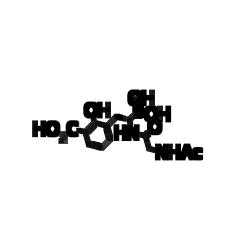 CC(=O)NCC(=O)N[C@@H](Cc1cccc(C(=O)O)c1O)B(O)O